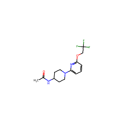 CC(=O)NC1CCN(c2cccc(OCC(F)(F)F)n2)CC1